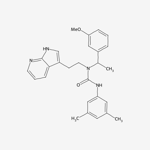 COc1cccc(C(C)N(CCc2c[nH]c3ncccc23)C(=O)Nc2cc(C)cc(C)c2)c1